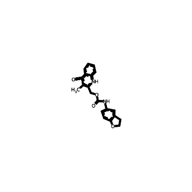 Cc1c(COC(=O)Nc2ccc3c(c2)CCO3)[nH]c2ccccc2c1=O